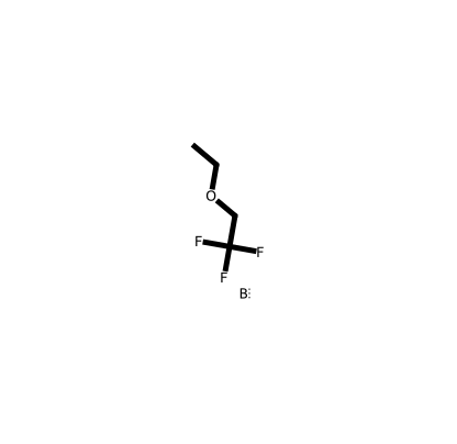 CCOCC(F)(F)F.[B]